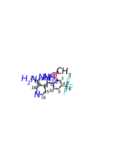 COc1cc(C(F)(F)F)ccc1/C(N)=c1\ccncc1=C(N)N